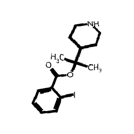 CC(C)(OC(=O)c1ccccc1I)C1CCNCC1